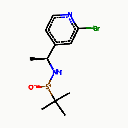 C[C@H](N[S@+]([O-])C(C)(C)C)c1ccnc(Br)c1